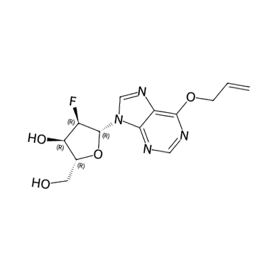 C=CCOc1ncnc2c1ncn2[C@@H]1O[C@H](CO)[C@@H](O)[C@H]1F